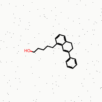 OCCCCCc1cccc2c1C=C(c1ccccc1)CC2